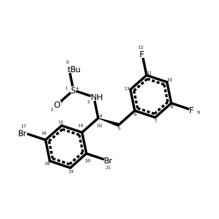 CC(C)(C)[S+]([O-])N[C@@H](Cc1cc(F)cc(F)c1)c1cc(Br)ccc1Br